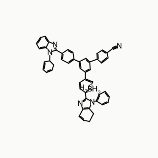 BC(/C=C\C(=C/C)c1cc(-c2ccc(C#N)cc2)cc(-c2ccc(-c3nc4ccccc4n3C3C=CC=CC3)cc2)c1)c1nc2c(n1-c1ccccc1)CCC=C2